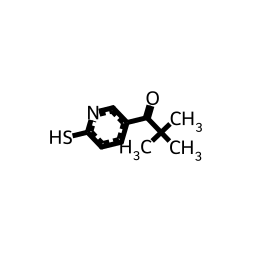 CC(C)(C)C(=O)c1ccc(S)nc1